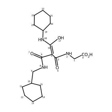 O=C(O)CNC(=O)/C(C(=O)NCC1CCCCC1)=C(\O)NC1CCCCC1